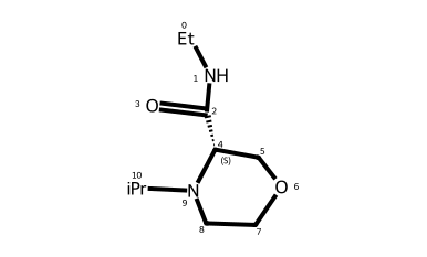 CCNC(=O)[C@@H]1COCCN1C(C)C